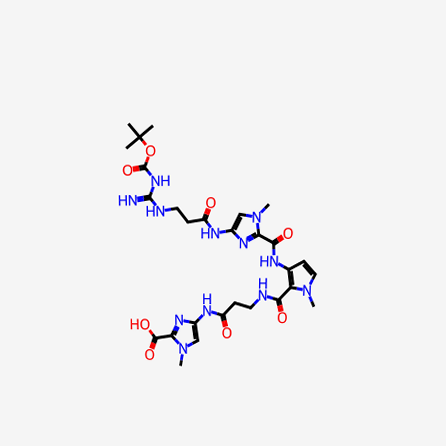 Cn1cc(NC(=O)CCNC(=O)c2c(NC(=O)c3nc(NC(=O)CCNC(=N)NC(=O)OC(C)(C)C)cn3C)ccn2C)nc1C(=O)O